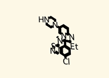 CCC1N=C2C=CC(N3CCNCC3)=CN2C1(c1ccc(Cl)cc1)N(C)c1ncns1